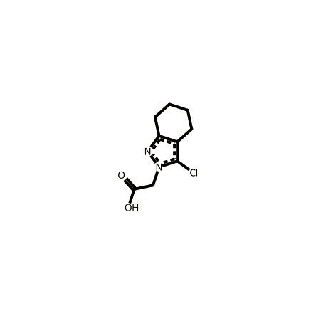 O=C(O)Cn1nc2c(c1Cl)CCCC2